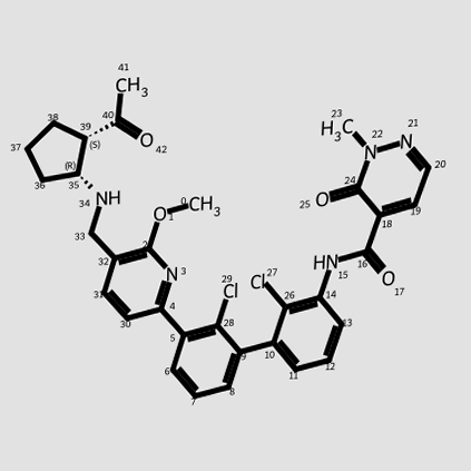 COc1nc(-c2cccc(-c3cccc(NC(=O)c4ccnn(C)c4=O)c3Cl)c2Cl)ccc1CN[C@@H]1CCC[C@@H]1C(C)=O